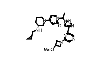 COC1CN(c2cncc(-c3cn(C(C)n4ccc(N5CCC[C@@H](NCC6CC6)C5)cc4=O)nn3)n2)C1